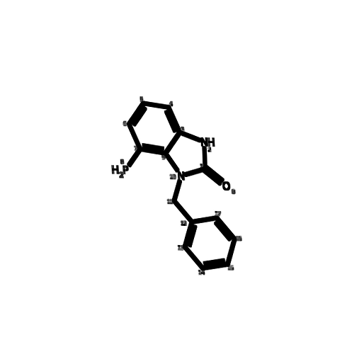 O=c1[nH]c2cccc(P)c2n1Cc1ccccc1